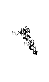 Cc1nc(N2CCC2)ccc1NC(=O)N1CCN(c2nc(N)nc3scnc23)C(C)C1